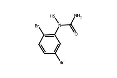 NC(=O)N(S)c1cc(Br)ccc1Br